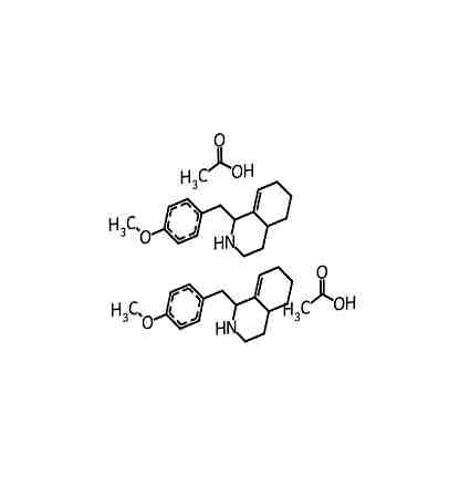 CC(=O)O.CC(=O)O.COc1ccc(CC2NCCC3CCCC=C32)cc1.COc1ccc(CC2NCCC3CCCC=C32)cc1